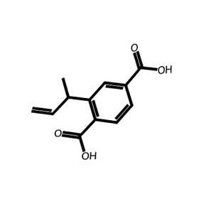 C=CC(C)c1cc(C(=O)O)ccc1C(=O)O